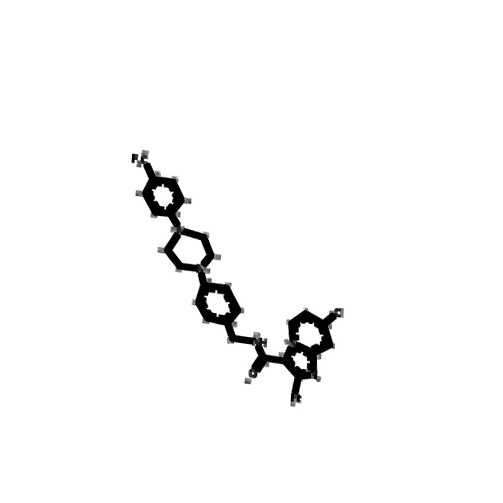 CCc1nc2cc(Cl)ccn2c1C(=O)NCc1ccc(N2CCN(c3ccc(C(F)(F)F)cc3)CC2)cc1